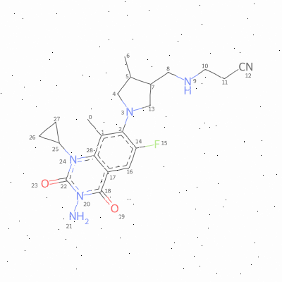 Cc1c(N2CC(C)C(CNCCC#N)C2)c(F)cc2c(=O)n(N)c(=O)n(C3CC3)c12